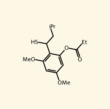 CCC(=O)Oc1cc(OC)cc(OC)c1C(S)CC(C)C